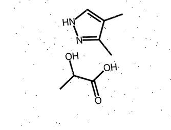 CC(O)C(=O)O.Cc1c[nH]nc1C